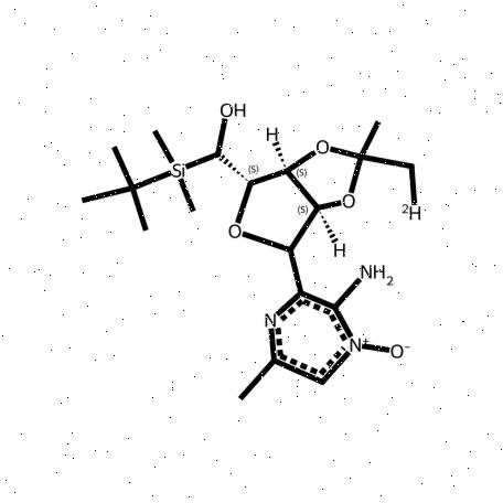 [2H]CC1(C)O[C@@H]2[C@@H](C(O)[Si](C)(C)C(C)(C)C)OC(c3nc(C)c[n+]([O-])c3N)[C@@H]2O1